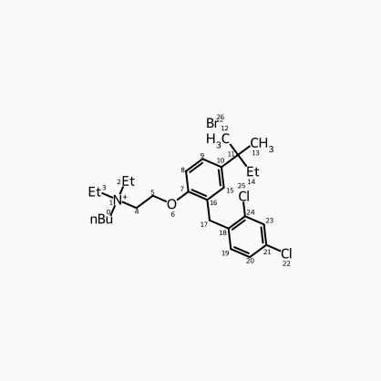 CCCC[N+](CC)(CC)CCOc1ccc(C(C)(C)CC)cc1Cc1ccc(Cl)cc1Cl.[Br-]